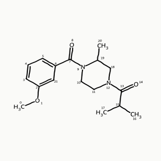 COc1cccc(C(=O)N2CCN(C(=O)C(C)C)CC2C)c1